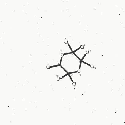 ClC1OC(Cl)(Cl)C(Cl)(Cl)OC1(Cl)Cl